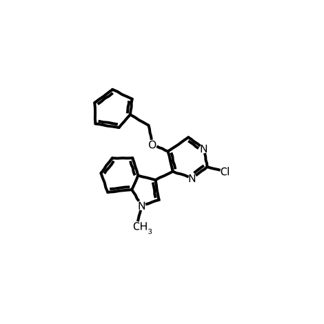 Cn1cc(-c2nc(Cl)ncc2OCc2ccccc2)c2ccccc21